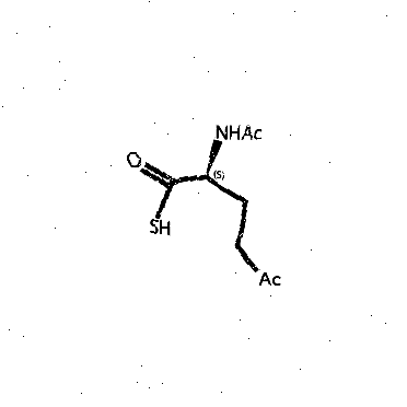 CC(=O)CC[C@H](NC(C)=O)C(=O)S